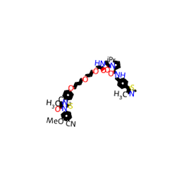 COc1cc(N2C(=O)C(C)(C)N(c3ccc(OCCCCOCCCOCC(=O)NC(C(=O)N4CCC[C@H]4C(=O)NCc4ccc(-c5scnc5C)cc4)C(C)C)cc3)C2=S)ccc1C#N